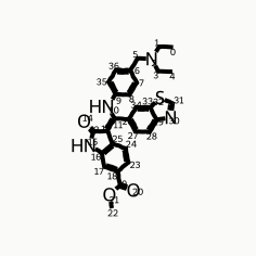 CCN(CC)Cc1ccc(N/C(=C2\C(=O)Nc3cc(C(=O)OC)ccc32)c2ccc3ncsc3c2)cc1